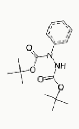 CC(C)(C)OC(=O)NN(C(=O)OC(C)(C)C)c1ccccc1